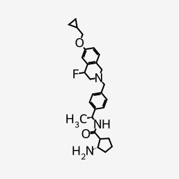 C[C@H](NC(=O)C1CCC[C@@H]1N)c1ccc(CN2Cc3ccc(OCC4CC4)cc3C(F)C2)cc1